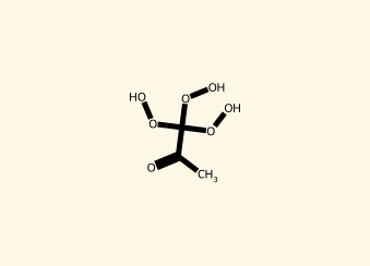 CC(=O)C(OO)(OO)OO